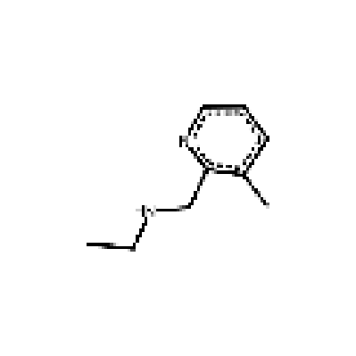 CCNCc1ncccc1C